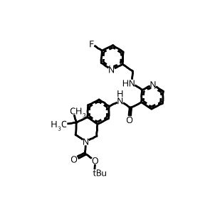 CC(C)(C)OC(=O)N1Cc2cc(NC(=O)c3cccnc3NCc3ccc(F)cn3)ccc2C(C)(C)C1